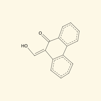 O=C1C(=CO)c2ccccc2-c2ccccc21